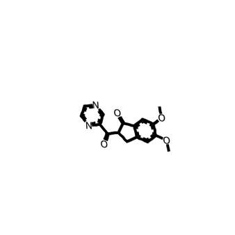 COc1cc2c(cc1OC)C(=O)C(C(=O)c1cnccn1)C2